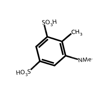 C[N]c1cc(S(=O)(=O)O)cc(S(=O)(=O)O)c1C